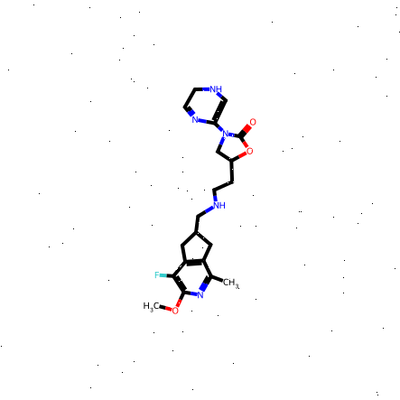 COc1nc(C)c2c(c1F)CC(CNCCC1CN(C3=CNCC=N3)C(=O)O1)C2